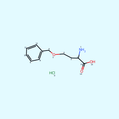 Cl.NC(CCOCc1ccccc1)C(=O)O